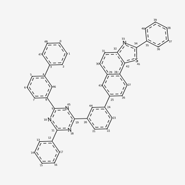 c1ccc(-c2cccc(-c3nc(-c4ccccc4)nc(-c4cccc(-c5ccc6c(ccc7nc(-c8ccccc8)sc76)c5)c4)n3)c2)cc1